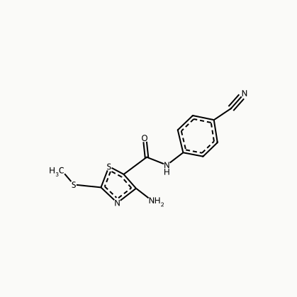 CSc1nc(N)c(C(=O)Nc2ccc(C#N)cc2)s1